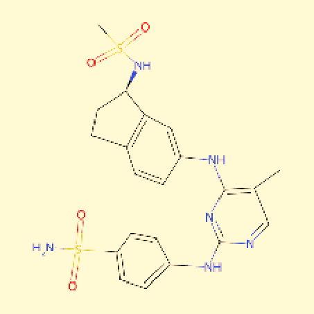 Cc1cnc(Nc2ccc(S(N)(=O)=O)cc2)nc1Nc1ccc2c(c1)[C@H](NS(C)(=O)=O)CC2